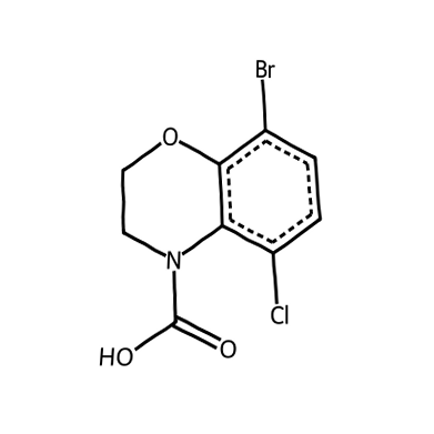 O=C(O)N1CCOc2c(Br)ccc(Cl)c21